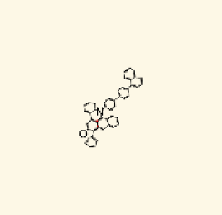 c1ccc(N(c2ccc(-c3ccc(-c4cccc5ccccc45)cc3)cc2)c2cccc3ccccc23)c(-c2ccc3c(c2)oc2ccccc23)c1